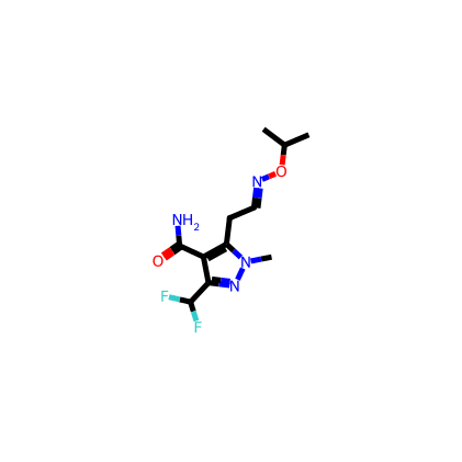 CC(C)ON=CCc1c(C(N)=O)c(C(F)F)nn1C